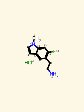 Cl.Cn1ccc2cc(CCN)c(F)cc21